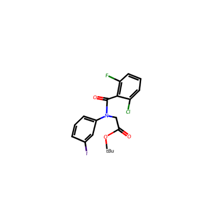 CC(C)(C)OC(=O)CN(C(=O)c1c(F)cccc1Cl)c1cccc(I)c1